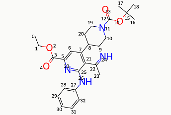 CCOC(=O)c1cc(C2CCN(C(=O)OC(C)(C)C)CC2)c(C(C)=N)c(Nc2ccccc2)n1